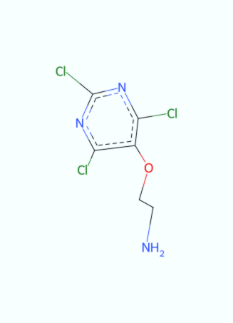 NCCOc1c(Cl)nc(Cl)nc1Cl